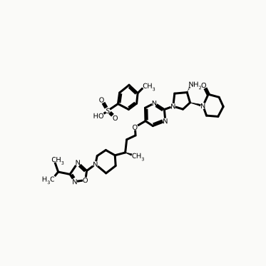 CC(C)c1noc(N2CCC([C@H](C)CCOc3cnc(N4C[C@H](N)[C@@H](N5CCCCC5=O)C4)nc3)CC2)n1.Cc1ccc(S(=O)(=O)O)cc1